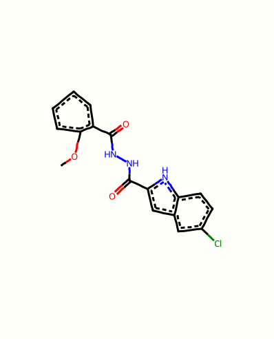 COc1ccccc1C(=O)NNC(=O)c1cc2cc(Cl)ccc2[nH]1